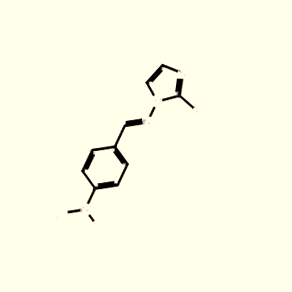 CC(C)c1nccn1/N=C/c1ccc(N(C)C)cc1